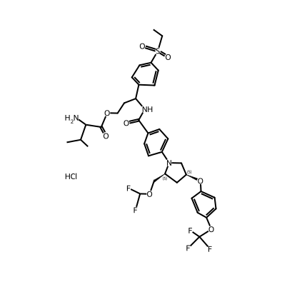 CCS(=O)(=O)c1ccc(C(CCOC(=O)C(N)C(C)C)NC(=O)c2ccc(N3C[C@@H](Oc4ccc(OC(F)(F)F)cc4)C[C@H]3COC(F)F)cc2)cc1.Cl